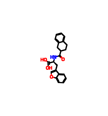 O=C(N[C@@H](Cc1coc2ccccc12)B(O)O)C1CCc2ccccc2C1